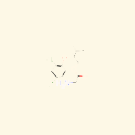 CC(C)[C@@H](Oc1ccc(Cl)cc1Cl)[C@H](C)OC(=O)[C@H](C)N